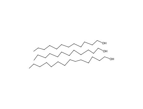 CCCCCCCCCCCCCCO.CCCCCCCCCCCCO.CCCCCCCCCCCCO